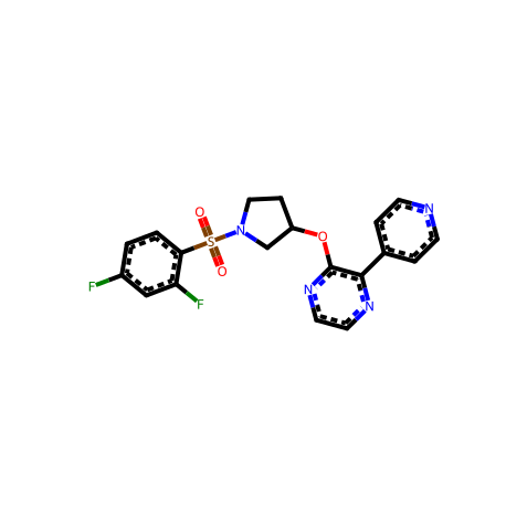 O=S(=O)(c1ccc(F)cc1F)N1CCC(Oc2nccnc2-c2ccncc2)C1